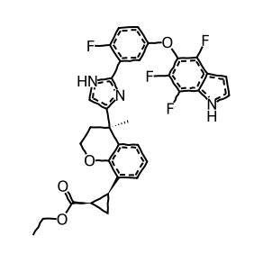 CCOC(=O)[C@@H]1C[C@@H]1c1cccc2c1OCC[C@@]2(C)c1c[nH]c(-c2cc(Oc3c(F)c(F)c4[nH]ccc4c3F)ccc2F)n1